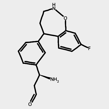 N[C@@H](CC=O)c1cccc(C2CCNOc3cc(F)ccc32)c1